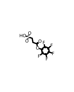 O=C(CCS(=O)(=O)O)Oc1c(F)c(F)c(F)c(F)c1F